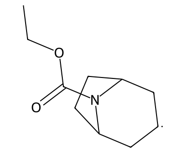 CCOC(=O)N1C2C[CH]CC1CC2